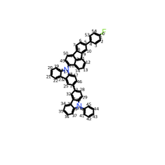 Fc1ccc(-c2ccc3c(c2)-c2cccc4c(-n5c6ccccc6c6cc(-c7ccc8c(c7)c7ccccc7n8-c7ccccc7)ccc65)ccc-3c24)cc1